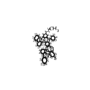 CCCCc1cc2c3c(c1)-n1c4ccccc4c4cccc(c41)B3c1cc3c(cc1N2c1ccccc1)Oc1cc(I)cc2c1B3c1cccc3c4ccccc4n-2c13